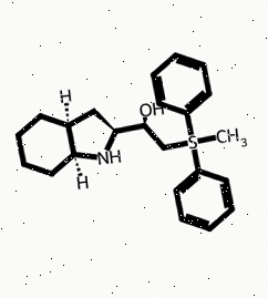 CS(C[C@@H](O)[C@@H]1C[C@@H]2CCCC[C@@H]2N1)(c1ccccc1)c1ccccc1